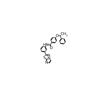 CC(Oc1ccc(C(=O)Nc2cccc(-c3nn4ccnc4s3)c2)cc1)c1ccccc1